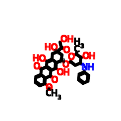 COc1cccc2c1C(=O)c1c(O)c3c(c(O)c1C2=O)C[C@@](O)(C(=O)CO)C[C@@H]3OC1CC(Nc2ccccc2)C(O)C(C)O1